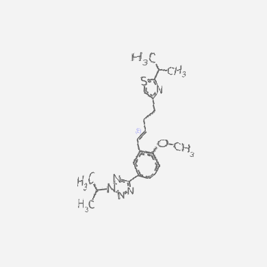 COc1ccc(-c2nnn(C(C)C)n2)cc1/C=C/CCc1csc(C(C)C)n1